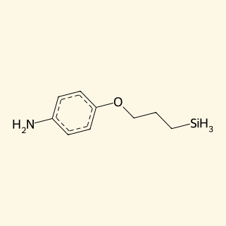 Nc1ccc(OCCC[SiH3])cc1